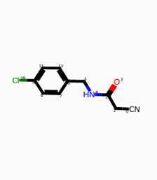 N#CCC(=O)NCc1ccc(Cl)cc1